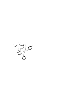 COc1ccc(C[C@@H](C(N)CC(c2ccccc2)c2ccc(Cl)c(Cl)c2)C(N)[C@@H](C(=O)C(F)(F)C(=O)NCC(F)(F)F)C(C)C)cc1